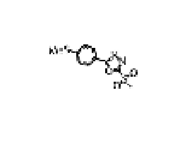 CSc1ccc(-c2nnc(S(C)(=O)=O)o2)cc1